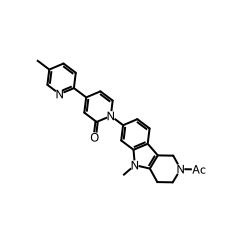 CC(=O)N1CCc2c(c3ccc(-n4ccc(-c5ccc(C)cn5)cc4=O)cc3n2C)C1